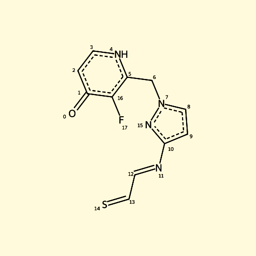 O=c1cc[nH]c(Cn2ccc(N=CC=S)n2)c1F